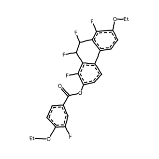 CCOc1ccc(C(=O)Oc2ccc3c(c2F)C(F)C(F)c2c-3ccc(OCC)c2F)cc1F